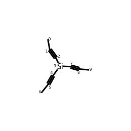 CC#C[Si](C#CC)C#CC